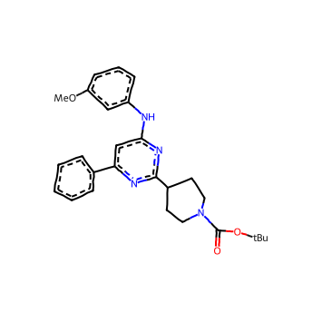 COc1cccc(Nc2cc(-c3ccccc3)nc(C3CCN(C(=O)OC(C)(C)C)CC3)n2)c1